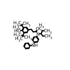 CCC(C(C)C)N(C(=O)CCc1cc(C(C)(C)C)c(O)c(C(C)(C)C)c1)c1ccc(Nc2ccccc2)cc1